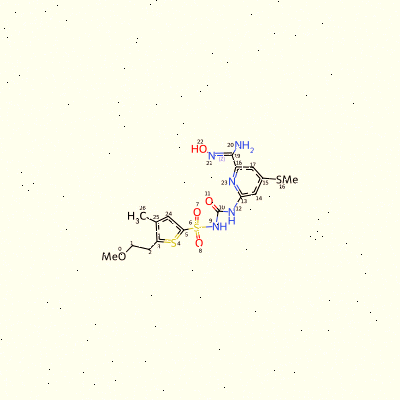 COCCc1sc(S(=O)(=O)NC(=O)Nc2cc(SC)cc(/C(N)=N/O)n2)cc1C